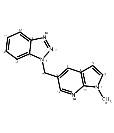 Cn1ccc2cc(Cn3nnc4ccccc43)cnc21